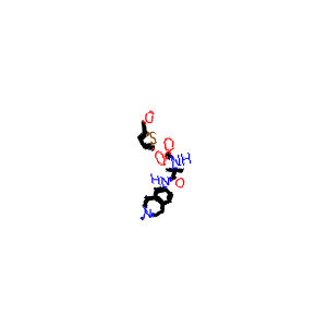 CN1CCc2ccc(NC(=O)C(C)(C)NC(=O)Oc3ccc(C=O)s3)cc2CC1